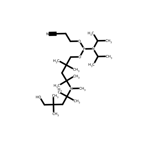 CC(C)N(C(C)C)P(OCCC#N)OCC(C)(C)CC(C)(C)N(C)C(C)(C)CC(C)(C)CO